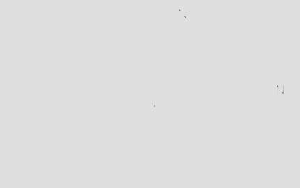 CCCCCSC=C(C#N)C#N